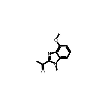 COc1cccc2c1nc(C(C)=O)n2C